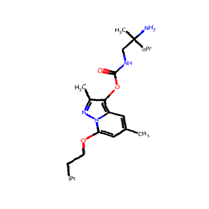 CCCC(C)(N)CNC(=O)Oc1c(C)nn2c(OCCC(C)C)cc(C)cc12